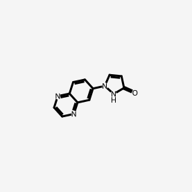 O=c1ccn(-c2ccc3nccnc3c2)[nH]1